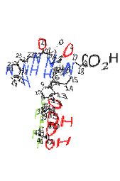 C[C@H](NC(=O)[C@H]1C[C@@H](c2ccccc2)CCN1CCC(=O)O)C(=O)NCc1cc2cnccc2[nH]1.O=C(O)C(F)(F)F.O=C(O)C(F)(F)F